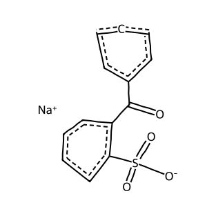 O=C(c1ccccc1)c1ccccc1S(=O)(=O)[O-].[Na+]